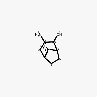 CN1C2CCC1C(O)C(N)C2